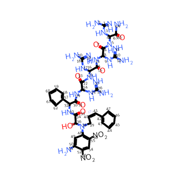 N=C(N)NC(NC(=O)C(NC(=N)N)NC(=O)C(NC(=N)N)NC(=O)C(NC(=N)N)NC(=O)C(NC(=O)C(O)N(C/C=C\c1ccccc1)c1cc(N)c([N+](=O)[O-])cc1[N+](=O)[O-])c1ccccc1)C(N)=O